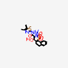 Cc1nc(NC(=O)C2=C(O)c3ccc4ccccc4c3S(=O)(=O)N2C)sc1C